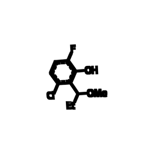 CCC(OC)c1c(Cl)ccc(F)c1O